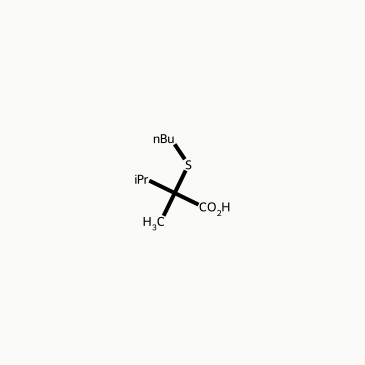 CCCCSC(C)(C(=O)O)C(C)C